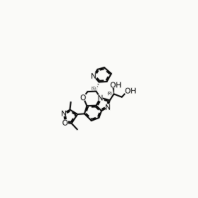 Cc1noc(C)c1-c1ccc2nc([C@@H](O)CO)n3c2c1OC[C@@H]3c1ccccn1